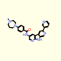 CN1CCCN(c2ccc(C(=O)Nc3cnc4[nH]c5cnc(-c6cccnc6)cc5c4c3)cc2)CC1